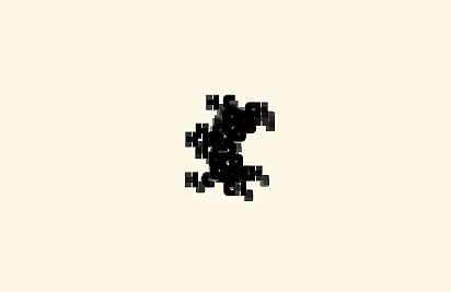 CO/N=C(/C[C@H]1O[C@H](OC)[C@@]23OC(C)C2C(C)C[C@H]3[C@H]1C)[C@H]1O[C@H](OC)[C@@]23OC(C)C2C(C)C[C@H]3[C@H]1C